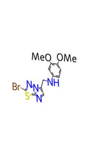 COc1ccc(NCc2cnc3sc(Br)nn23)cc1OC